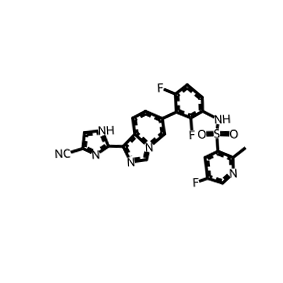 Cc1ncc(F)cc1S(=O)(=O)Nc1ccc(F)c(-c2ccc3c(-c4nc(C#N)c[nH]4)ncn3c2)c1F